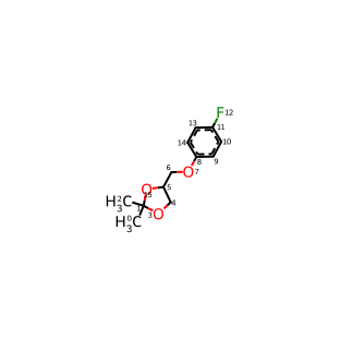 CC1(C)OCC(COc2ccc(F)cc2)O1